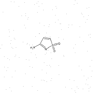 NC1=NS(=O)(=O)C=C1